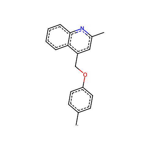 [CH2]c1ccc(OCc2cc(C)nc3ccccc23)cc1